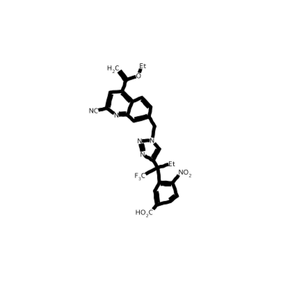 C=C(OCC)c1cc(C#N)nc2cc(Cn3cc(C(CC)(c4cc(C(=O)O)ccc4[N+](=O)[O-])C(F)(F)F)nn3)ccc12